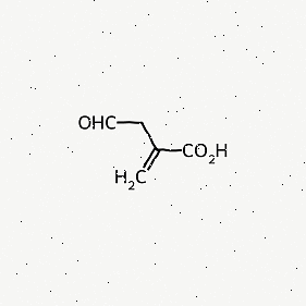 C=C(CC=O)C(=O)O